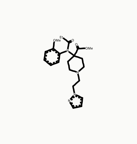 CCC(=O)N(c1ccccc1OC)C1(C(=O)OC)CCN(CCn2cccn2)CC1